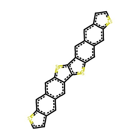 c1cc2cc3cc4c(cc3cc2s1)sc1c2cc3cc5ccsc5cc3cc2sc41